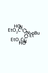 CCCCC(CC)Cn1c2ccc(/C(=N/O)C(=O)OCC)cc2c2cc(/C(=N/O)C(=O)OCC)ccc21